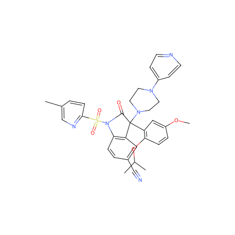 COc1ccc(OC(C)C)c(C2(N3CCN(c4ccncc4)CC3)C(=O)N(S(=O)(=O)c3ccc(C)cn3)c3ccc(C#N)cc32)c1